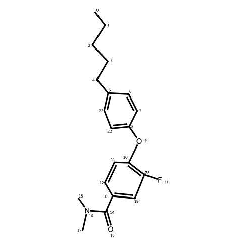 CCCCCc1ccc(Oc2ccc(C(=O)N(C)C)cc2F)cc1